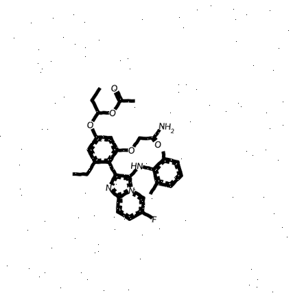 CCc1cc(OC(CC)OC(C)=O)cc(OCC(N)=O)c1-c1nc2ccc(F)cn2c1Nc1c(C)cccc1C